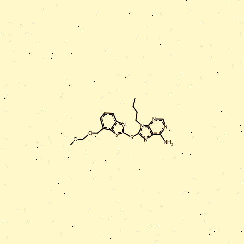 CCCCn1c(Sc2nc3cccc(COCOC)c3s2)nc2c(N)ncnc21